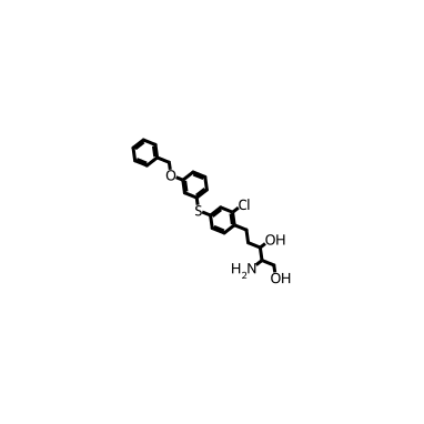 NC(CO)C(O)CCc1ccc(Sc2cccc(OCc3ccccc3)c2)cc1Cl